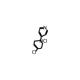 Cl.ClC1=CCC(c2ccncc2)CC1